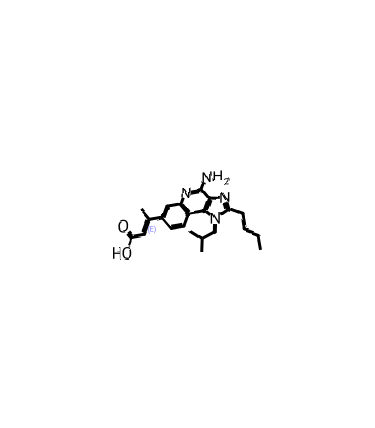 CCCCc1nc2c(N)nc3cc(/C(C)=C/C(=O)O)ccc3c2n1CC(C)C